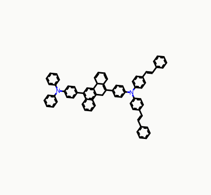 C1=CC2=C(c3ccc(N(c4ccc(C=Cc5ccccc5)cc4)c4ccc(C=Cc5ccccc5)cc4)cc3)Cc3c(cc(-c4ccc(N(c5ccccc5)c5ccccc5)cc4)c4ccccc34)C2C=C1